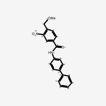 COCc1ccc(C(=O)Nc2ccc(-c3ccccc3)cc2)cc1[N+](=O)[O-]